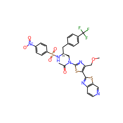 COCc1nc(N(C[C@H](Cc2ccc(C(F)(F)F)cc2)NS(=O)(=O)c2ccc([N+](=O)[O-])cc2)C(C)=O)sc1-c1nc2ccncc2s1